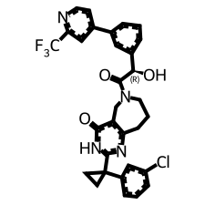 O=C([C@H](O)c1cccc(-c2ccnc(C(F)(F)F)c2)c1)N1CCCc2nc(C3(c4cccc(Cl)c4)CC3)[nH]c(=O)c2C1